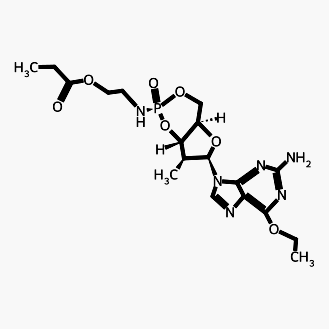 CCOc1nc(N)nc2c1ncn2[C@@H]1O[C@@H]2CO[P@@](=O)(NCCOC(=O)CC)O[C@H]2[C@@H]1C